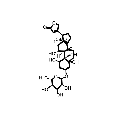 C[C@@H]1O[C@@H](O[C@H]2C[C@@H](O)[C@]3(CO)[C@H]4[C@H](O)C[C@]5(C)[C@@H](C6=CC(=O)OC6)CCC5(O)[C@@H]4CC[C@]3(O)C2)[C@H](O)[C@H](O)[C@H]1O